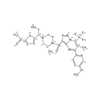 COc1ccc(-c2nc3c(C(=O)N4CCN(C(CO)c5ccc(C(C)=O)s5)C[C@H]4C)cnn3c(C(F)(F)F)c2C)cc1